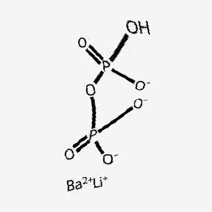 O=P([O-])([O-])OP(=O)([O-])O.[Ba+2].[Li+]